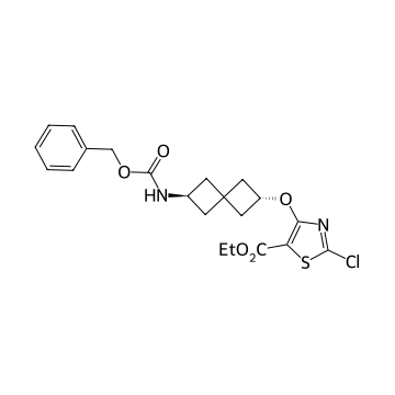 CCOC(=O)c1sc(Cl)nc1O[C@H]1CC2(C[C@H](NC(=O)OCc3ccccc3)C2)C1